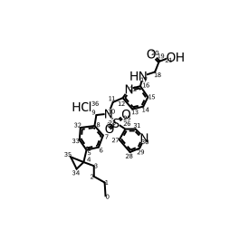 CCCCC1(c2ccc(CN(Cc3cccc(NCC(=O)O)n3)S(=O)(=O)c3cccnc3)cc2)CC1.Cl